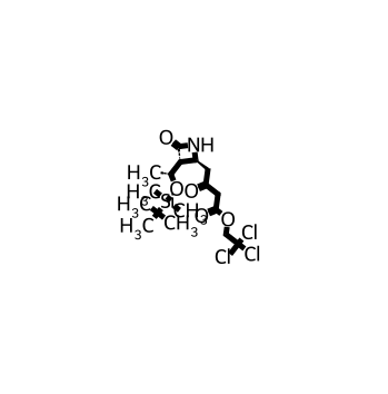 C[C@@H](O[Si](C)(C)C(C)(C)C)[C@@H]1C(=O)N[C@H]1CC(=O)CC(=O)OCC(Cl)(Cl)Cl